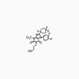 Cn1c(=O)n(CCCO)c(=O)c2c1nc(C1(F)CCC(F)(F)CC1)n2-c1ccc(F)c(F)c1